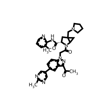 CC(=O)c1nn(CC(=O)N2C3CC3(CN3CCCC3)C[C@H]2C(=O)Nc2ncccc2C)c2ccc(-c3cnc(C)nc3)cc12